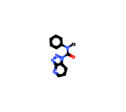 CCN(C(=O)n1nnc2ncccc21)c1ccccc1